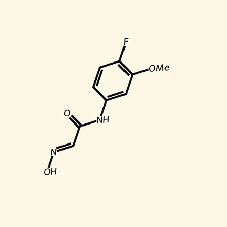 COc1cc(NC(=O)/C=N/O)ccc1F